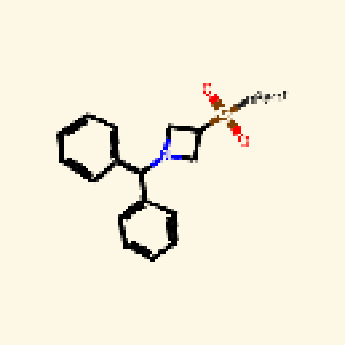 CCCCCS(=O)(=O)C1CN(C(c2ccccc2)c2ccccc2)C1